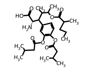 CCCC(C)C(=O)OC(C)C(C)C(c1ccc(OC(=O)CC(C)C)c(OC(=O)CC(C)C)c1)[C@H](N)C(=O)O